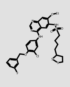 CCOc1cc2ncnc(Nc3ccc(OCc4cccc(F)c4)c(Cl)c3)c2cc1NS(=O)(=O)CCCCC1CCSS1